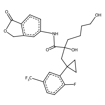 O=C1OCc2cc(NC(=O)C(O)(CCCCO)CC3(c4cc(C(F)(F)F)ccc4F)CC3)ccc21